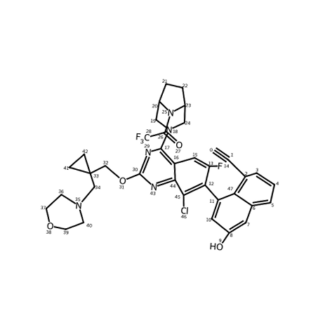 C#Cc1cccc2cc(O)cc(-c3c(F)cc4c(N5CC6CCC(C5)N6C(=O)C(F)(F)F)nc(OCC5(CN6CCOCC6)CC5)nc4c3Cl)c12